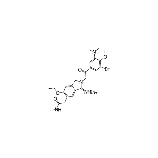 Br.CCOc1cc2c(cc1CC(=O)NC)C(=N)N(CC(=O)c1cc(Br)c(OC)c(N(C)C)c1)C2